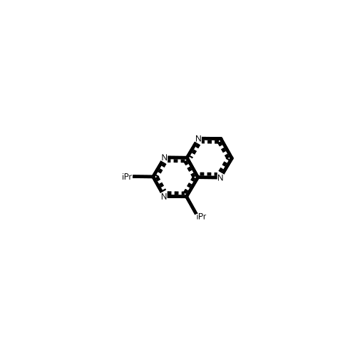 CC(C)c1nc(C(C)C)c2nccnc2n1